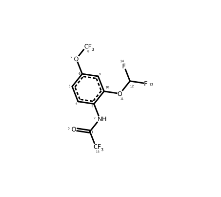 O=C(Nc1ccc(OC(F)(F)F)cc1OC(F)F)C(F)(F)F